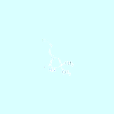 CC1(C)CN(CCS)C(=O)N1